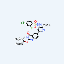 CNC(=O)C(C)Cn1cnc2ccc(-c3cnc(OC)c(NS(=O)(=O)c4ccc(Cl)cc4F)c3)cc2c1=O